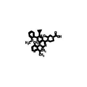 COc1ccccc1-c1nc2c(cc1C1CC1)c(N1CCN(C(=O)O)CC1C)nc(=O)n2-c1c(C)ccnc1C(C)C